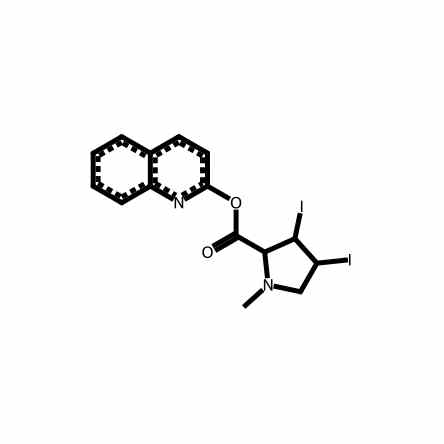 CN1CC(I)C(I)C1C(=O)Oc1ccc2ccccc2n1